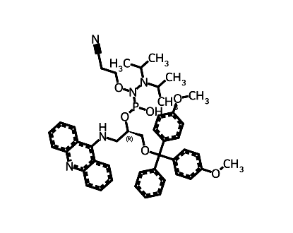 COc1ccc(C(OC[C@@H](CNc2c3ccccc3nc3ccccc23)OP(O)N(OCCC#N)N(C(C)C)C(C)C)(c2ccccc2)c2ccc(OC)cc2)cc1